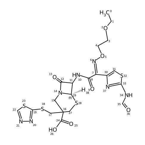 CCOCCON=C(C(=O)NC1C(=O)N2CC(CSc3nncs3)(C(=O)O)CS[C@H]12)c1csc(NC=O)n1